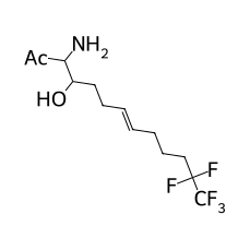 CC(=O)C(N)C(O)CC/C=C/CCCC(F)(F)C(F)(F)F